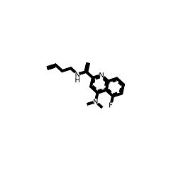 C=CCCNC(=C)c1cc(N(C)C)c2c(F)cccc2n1